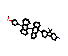 COc1ccc(-c2c3ccccc3c(-c3c4ccccc4c(-c4ccc5c(c4)C(C)(C)c4cc(I)ccc4-5)c4ccccc34)c3ccccc23)cc1